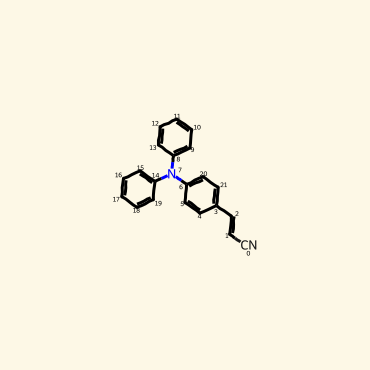 N#CC=Cc1ccc(N(c2ccccc2)c2ccccc2)cc1